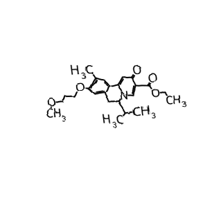 CCOC(=O)c1cn2c(cc1=O)-c1cc(C)c(OCCCOC)cc1CC2C(C)C